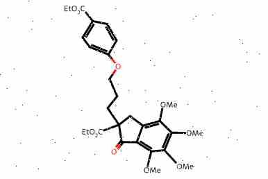 CCOC(=O)c1ccc(OCCCC2(C(=O)OCC)Cc3c(OC)c(OC)c(OC)c(OC)c3C2=O)cc1